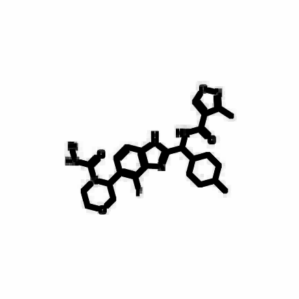 CCNC(=O)N1CCOCC1c1ccc2[nH]c(C(NC(=O)c3conc3C)C3CCC(C)CC3)nc2c1F